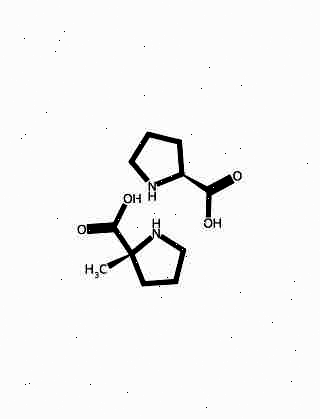 C[C@]1(C(=O)O)CCCN1.O=C(O)[C@@H]1CCCN1